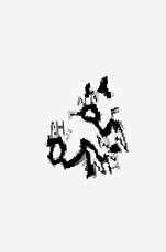 Cc1nc2c(F)cc(-c3nc(Nc4ccc(CC5CCC(C)(N)CC5)cn4)ncc3F)cc2n1C(C)C